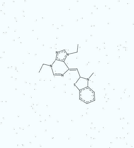 CCN1C=NC(=CC2Sc3ccccc3N2C)c2c1ncn2CC